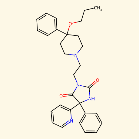 CCCOC1(c2ccccc2)CCN(CCN2C(=O)NC(c3ccccc3)(c3ccccn3)C2=O)CC1